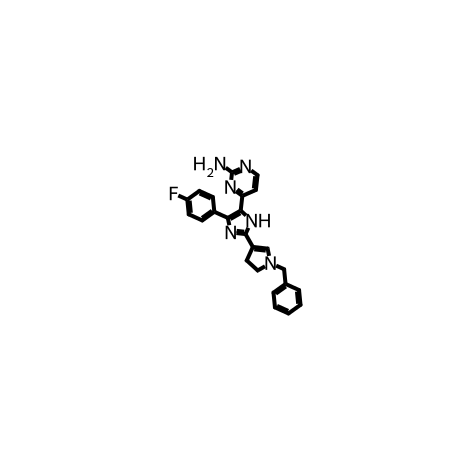 Nc1nccc(-c2[nH]c(C3=CN(Cc4ccccc4)CC3)nc2-c2ccc(F)cc2)n1